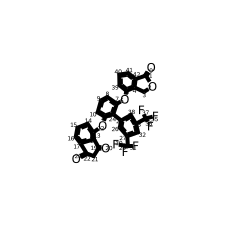 O=C1OCc2c(Oc3cccc(Oc4cccc5c4C(=O)CC5=O)c3-c3cc(C(F)(F)F)cc(C(F)(F)F)c3)cccc21